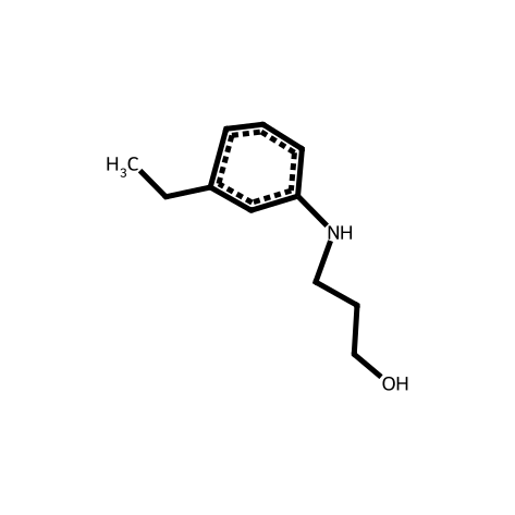 CCc1cccc(NCCCO)c1